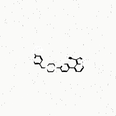 COc1ccc(CN2CCN(c3ccc(-c4cccn5ncc(C#N)c45)cn3)CC2)cn1